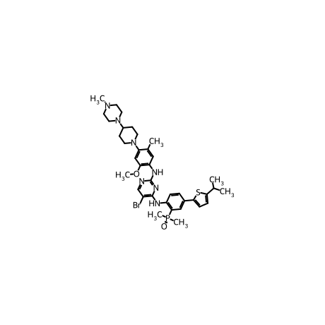 COc1cc(N2CCC(N3CCN(C)CC3)CC2)c(C)cc1Nc1ncc(Br)c(Nc2ccc(-c3ccc(C(C)C)s3)cc2P(C)(C)=O)n1